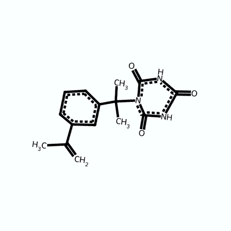 C=C(C)c1cccc(C(C)(C)n2c(=O)[nH]c(=O)[nH]c2=O)c1